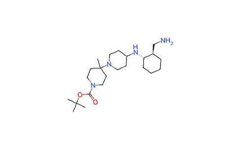 CC(C)(C)OC(=O)N1CCC(C)(N2CCC(N[C@H]3CCCC[C@@H]3CN)CC2)CC1